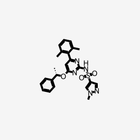 Cc1cccc(C)c1-c1cc(O[C@@H](C)c2ccccc2)nc(NS(=O)(=O)c2cnn(C)c2)n1